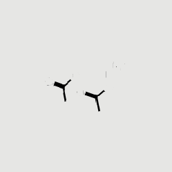 CC(=O)[O-].CC(=O)[O-].I.[Hg+2]